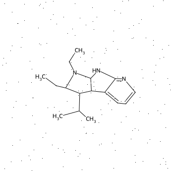 CCC1C(C(C)C)C2c3cccnc3NC2N1CC